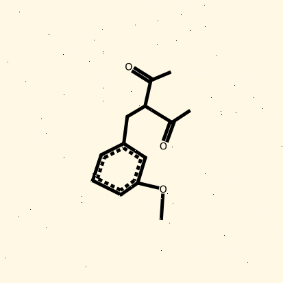 COc1cccc(CC(C(C)=O)C(C)=O)c1